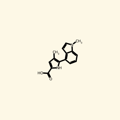 Cc1cc(C(=O)O)[nH]c1-c1cccc2c1ccn2C